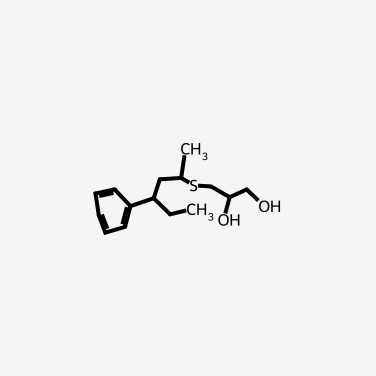 CCC(CC(C)SCC(O)CO)c1ccccc1